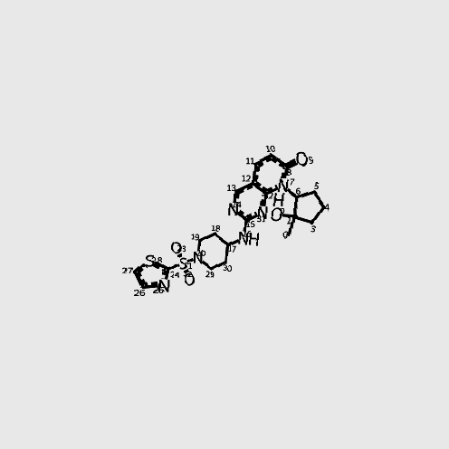 CC1(O)CCCC1n1c(=O)ccc2cnc(NC3CCN(S(=O)(=O)c4nccs4)CC3)nc21